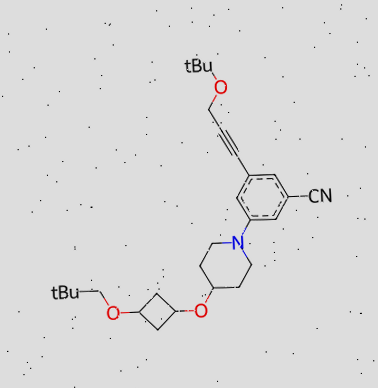 CC(C)(C)COC1CC(OC2CCN(c3cc(C#N)cc(C#CCOC(C)(C)C)c3)CC2)C1